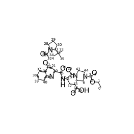 CCOC(=O)N1CCN(C(=O)C(CCC(=O)O)NC(=O)c2cc(OCC(=O)N3CCCC3C(C)(C)C)c3ccccc3n2)CC1